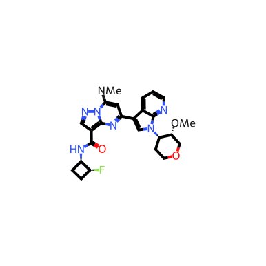 CNc1cc(-c2cn([C@@H]3CCOC[C@H]3OC)c3ncccc23)nc2c(C(=O)N[C@@H]3CC[C@@H]3F)cnn12